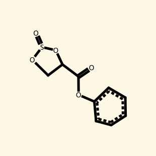 O=C(Oc1ccccc1)C1COS(=O)O1